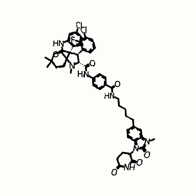 CN1[C@@H](C(=O)Nc2ccc(C(=O)NCCCCCc3ccc4c(c3)n(C)c(=O)n4C3CCC(=O)NC3=O)cc2)[C@H](c2cccc(Cl)c2F)[C@]2(C(=O)Nc3cc(Cl)ccc32)C12CCC(C)(C)CC2